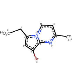 O=C(O)Cc1cc(Br)c2nc(C(F)(F)F)ccn12